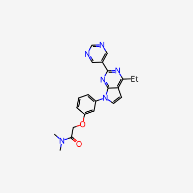 CCc1nc(-c2cncnc2)nc2c1ccn2-c1cccc(OCC(=O)N(C)C)c1